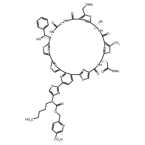 CNC(=O)C[C@@H]1NC(=O)c2csc(n2)-c2ccc(-c3nc(N(CCCCC(=O)O)C(=O)OCc4ccc(C(=O)O)cn4)cs3)nc2-c2csc(n2)-c2csc(n2)[C@H]([C@@H](O)c2ccccc2)NC(=O)CNC(=O)c2nc(sc2COC)[C@H](C(C)C)NC(=O)c2nc1sc2C